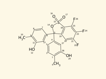 Cc1ccc(C2(c3ccc(C)c(O)c3)OS(=O)(=O)c3c2cc(F)c(F)c3F)cc1O